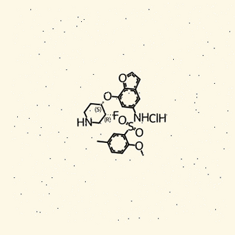 COc1ccc(C)cc1S(=O)(=O)Nc1cc(O[C@H]2CCNC[C@H]2F)c2occc2c1.Cl